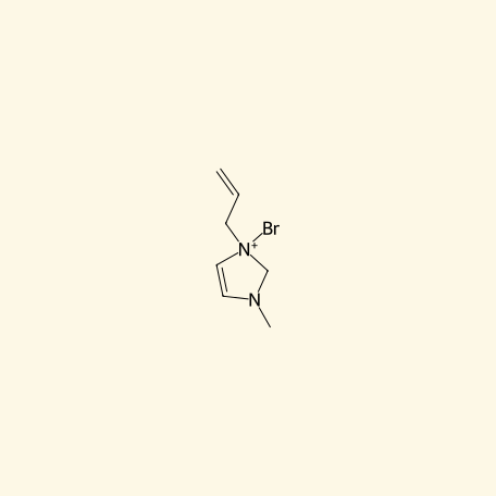 C=CC[N+]1(Br)C=CN(C)C1